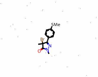 CSc1ccc(C2=NN(C)C(=O)C2(C)Br)cc1